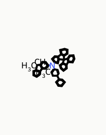 CC1=C(N(c2ccc3c(c2)-c2ccccc2C3(C)C)c2ccc3c(c2)C2(c4ccccc4-c4ccccc42)c2ccccc2-3)C=CC(c2ccccc2)C1